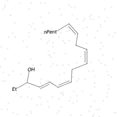 CCCCC/C=C\C/C=C\C/C=C\C=C\C(O)CC